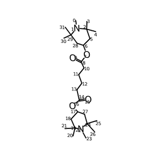 CN1C(C)(C)CC(OC(=O)CCCCC(=O)OC2CC(C)(C)N(C)C(C)(C)C2)CC1(C)C